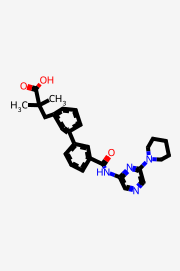 CC(C)(Cc1cccc(-c2cccc(C(=O)Nc3cncc(N4CCCCC4)n3)c2)c1)C(=O)O